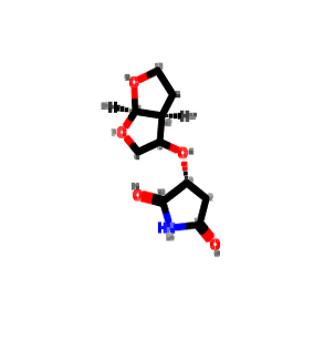 O=C1C[C@@H](OC2CO[C@H]3OCC[C@@H]23)C(=O)N1